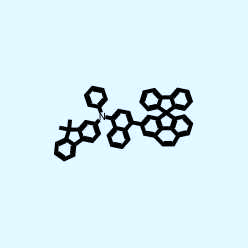 CC1(C)c2ccccc2-c2ccc(N(c3ccccc3)c3ccc(-c4cc5c6c(ccc7cccc(c76)C56c5ccccc5-c5ccccc56)c4)c4ccccc34)cc21